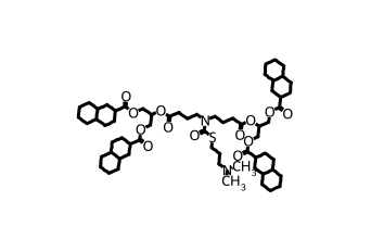 CN(C)CCCSC(=O)N(CCCC(=O)OC(COC(=O)C1CCC2CCCCC2C1)COC(=O)C1CCC2CCCCC2C1)CCCC(=O)OC(COC(=O)C1CCC2CCCCC2C1)COC(=O)C1CCC2CCCCC2C1